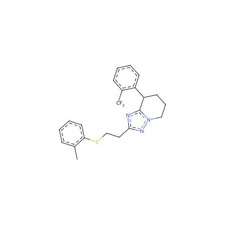 Cc1ccccc1SCCc1nc2n(n1)CCCC2c1ccccc1C(F)(F)F